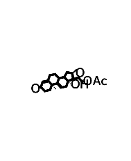 CC(=O)OCC(=O)[C@@]1(O)[C@H](C)CC2C3CCC4=CC(=O)CC[C@]4(C)C3=CC[C@@]21C